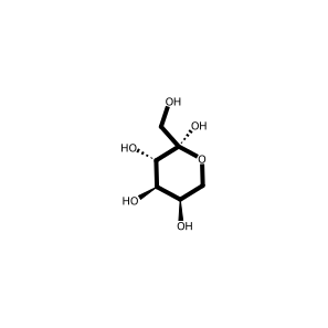 OC[C@@]1(O)OC[C@@H](O)[C@@H](O)[C@@H]1O